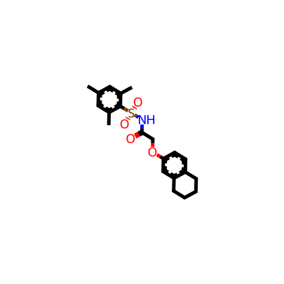 Cc1cc(C)c(S(=O)(=O)NC(=O)COc2ccc3c(c2)CCCC3)c(C)c1